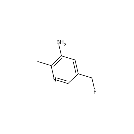 Bc1cc(CF)cnc1C